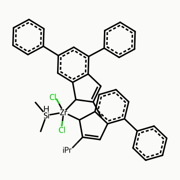 CC1=Cc2c(-c3ccccc3)cc(-c3ccccc3)cc2[CH]1[Zr]([Cl])([Cl])([CH]1C(C(C)C)=Cc2c(-c3ccccc3)cccc21)[SiH](C)C